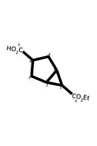 CCOC(=O)C1C2CC(C(=O)O)CC21